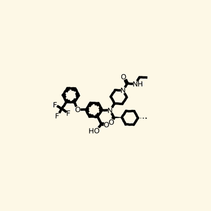 CCNC(=O)N1CCC(N(c2ccc(Oc3ccccc3C(F)(F)F)cc2C(=O)O)C(=O)[C@H]2CC[C@H](C)CC2)CC1